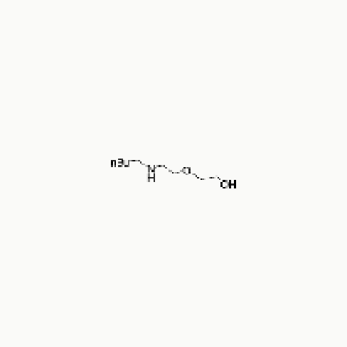 CCCCCNCCOCCO